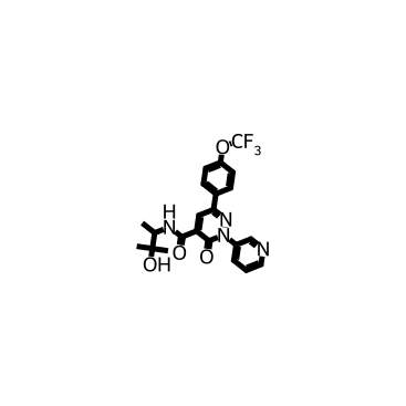 CC(NC(=O)c1cc(-c2ccc(OC(F)(F)F)cc2)nn(-c2cccnc2)c1=O)C(C)(C)O